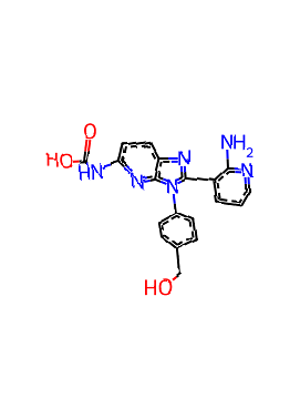 Nc1ncccc1-c1nc2ccc(NC(=O)O)nc2n1-c1ccc(CO)cc1